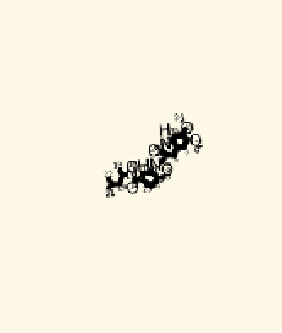 COc1cc2cc(C(=O)Nc3cc(C(=O)N(O)C(C)CC(C)C)ccc3C)c(=O)[nH]c2cc1OC